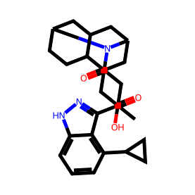 CC(CC(=O)N1C2CCC3C(CC(=O)O)CC1CC3C2)c1n[nH]c2cccc(C3CC3)c12